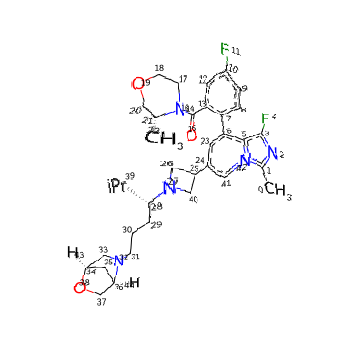 Cc1nc(F)c2c(-c3ccc(F)cc3C(=O)N3CCOC[C@H]3C)cc(C3CN([C@H](CCCN4C[C@H]5C[C@@H]4CO5)C(C)C)C3)cn12